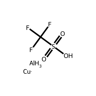 O=S(=O)(O)C(F)(F)F.[AlH3].[Cu]